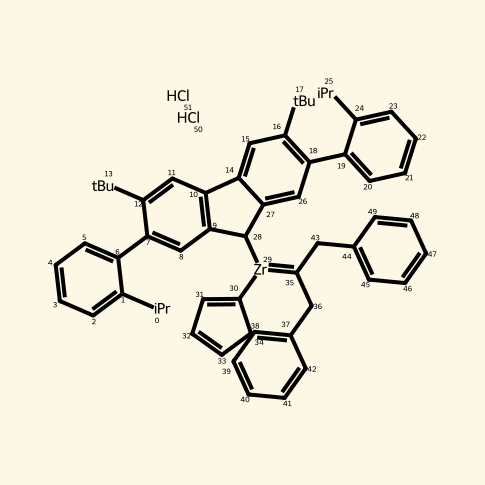 CC(C)c1ccccc1-c1cc2c(cc1C(C)(C)C)-c1cc(C(C)(C)C)c(-c3ccccc3C(C)C)cc1[CH]2[Zr]([C]1=CC=CC1)=[C](Cc1ccccc1)Cc1ccccc1.Cl.Cl